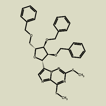 CSc1nc(SC)c2ncc([C@@H]3O[C@H](COCc4ccccc4)[C@@H](OCc4ccccc4)[C@H]3OCc3ccccc3)n2n1